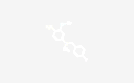 CC(C)Oc1cc(N(C)Cc2ccc(F)cc2)ccc1N